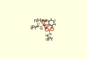 CCCCCCc1cccc(OC(=O)CCC(C)C)c1OC(=O)CCC(C)C